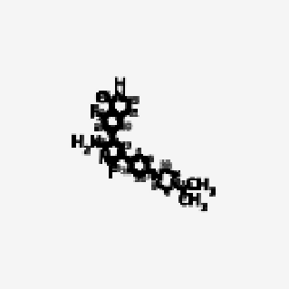 CC(C)N1CCN(c2ccc(-c3cc(-c4cc(F)c5c(c4)CCNC5=O)c(N)nc3F)cc2)CC1